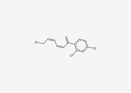 C=C(/C=C\C=C/CCl)c1ccc(Cl)cc1Cl